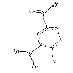 CC(C)C(=O)c1ccc(Cl)c([S+](N)[O-])c1